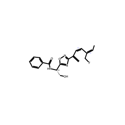 C=C(/C=C\C(=C/C)CF)c1noc([C@H](CO)NC(=O)c2ccccc2)n1